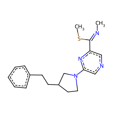 C/N=C(\SC)c1cncc(N2CCC(CCc3ccccc3)C2)n1